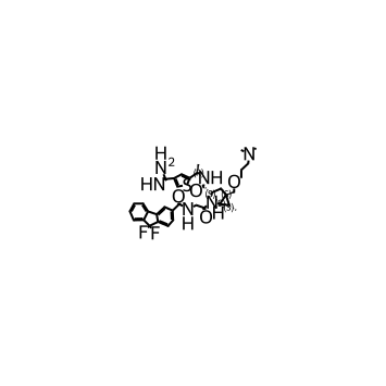 C[C@@H]1[C@@H]2N(C(=O)CNC(=O)c3ccc4c(c3)-c3ccccc3C4(F)F)[C@H](C(=O)N[C@H](C)c3cc(C(=N)N)cs3)C[C@]12COCCCN(C)C